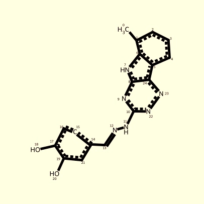 Cc1cccc2c1[nH]c1nc(N/N=C/c3ccc(O)c(O)c3)nnc12